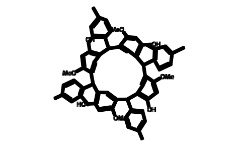 COc1cc(O)c2cc1C(c1ccc(C)cc1)c1cc(c(OC)cc1O)C(c1ccc(C)cc1C)c1cc(c(OC)cc1O)C(c1ccc(C)cc1C)c1cc(c(OC)cc1O)C2c1ccc(C)cc1C